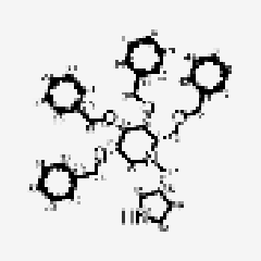 c1ccc(COC[C@H]2[C@@H](OCc3ccccc3)[C@H](OCc3ccccc3)[C@@H](OCc3ccccc3)CN2C[C@@H]2CCNC2)cc1